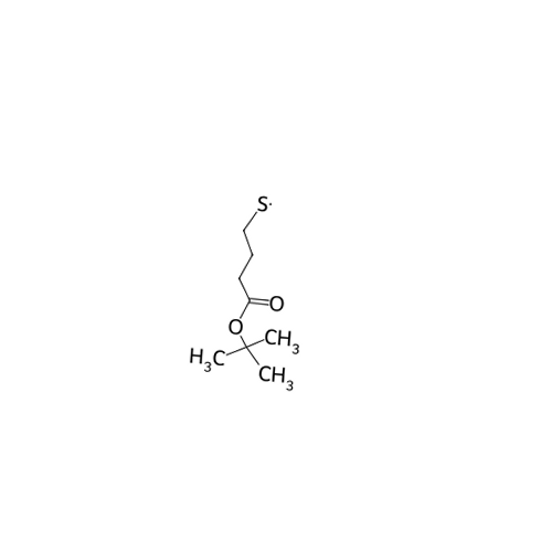 CC(C)(C)OC(=O)CCC[S]